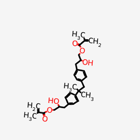 C=C(C)C(=O)OCC(O)Cc1ccc(CC(C)(C)c2ccc(CC(O)COC(=O)C(=C)C)cc2)cc1